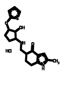 Cc1cc2c([nH]1)CCC(CNC1CCC(Oc3cccs3)C1O)C2=O.Cl